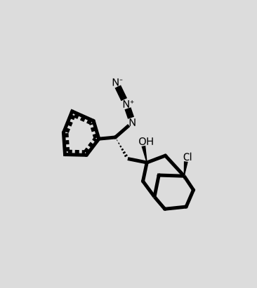 [N-]=[N+]=N[C@H](C[C@@]1(O)CC2CCC[C@](Cl)(C2)C1)c1ccccc1